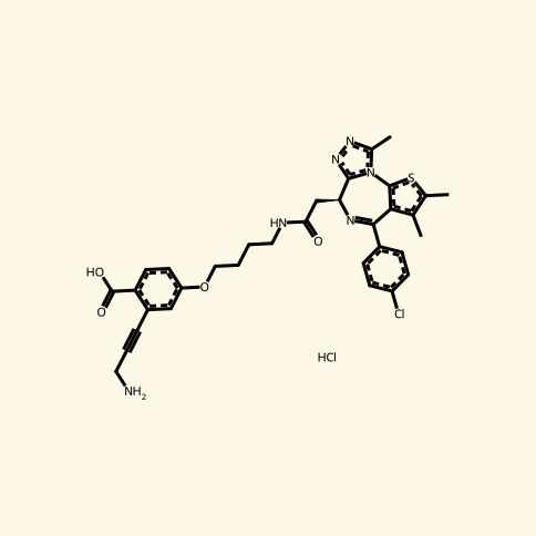 Cc1sc2c(c1C)C(c1ccc(Cl)cc1)=N[C@@H](CC(=O)NCCCCOc1ccc(C(=O)O)c(C#CCN)c1)c1nnc(C)n1-2.Cl